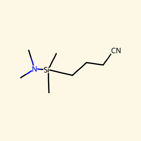 CN(C)[Si](C)(C)CCCC#N